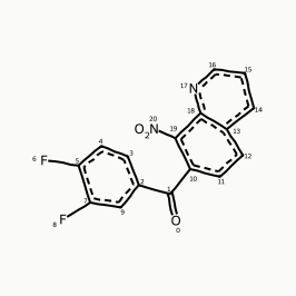 O=C(c1ccc(F)c(F)c1)c1ccc2cccnc2c1[N+](=O)[O-]